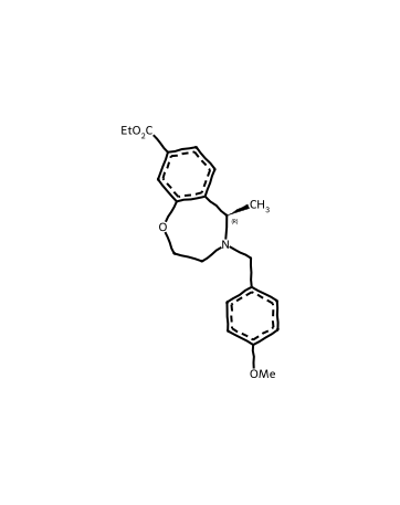 CCOC(=O)c1ccc2c(c1)OCCN(Cc1ccc(OC)cc1)[C@@H]2C